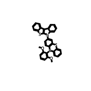 COc1cccc(OC)c1B1c2ccccc2Sc2cc(-n3c4ccccc4c4c5ccccc5sc43)ccc21